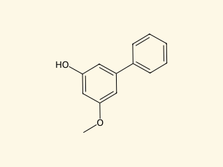 COc1cc(O)cc(-c2ccccc2)c1